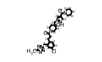 Cc1nnn(Cc2cc(Cl)ccc2/C=C/C(=O)N2CCC(O)(Cn3cc(C(=O)N4CCCCC4)cn3)CC2)n1